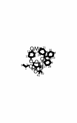 C=CCO[C@H]1[C@H](Oc2ccc(OC)cc2)O[C@H](COC(c2ccccc2)(c2ccccc2)c2ccccc2)[C@@H]2OC(C)(C)O[C@@H]21